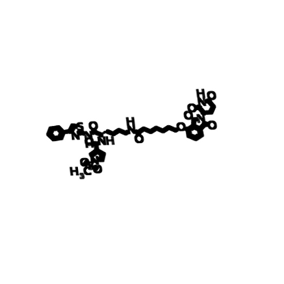 CS(=O)(=O)n1ccc(C(=O)N[C@@H](CCCCNC(=O)CCCCCCOc2cccc3c2C(=O)N(C2CCC(=O)NC2=O)C3=O)C(=O)Nc2nc(-c3ccccc3)cs2)c1